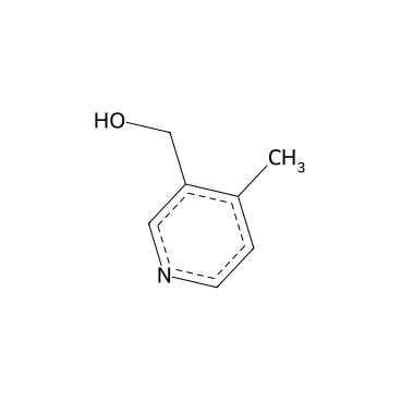 Cc1ccncc1CO